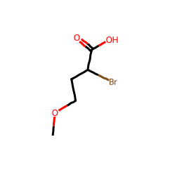 COCCC(Br)C(=O)O